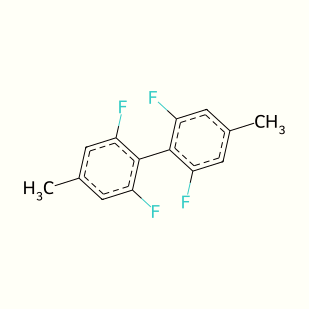 Cc1cc(F)c(-c2c(F)cc(C)cc2F)c(F)c1